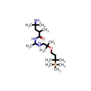 CC(NCC(C)(C)OCCC(C)(C)S(C)(C)C)NC(=O)C(C)CC(C)(C)N